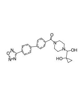 O=C(c1ccc(-c2ccc(-c3nnon3)cc2)cc1)N1CCN(C(O)C2(O)CC2)CC1